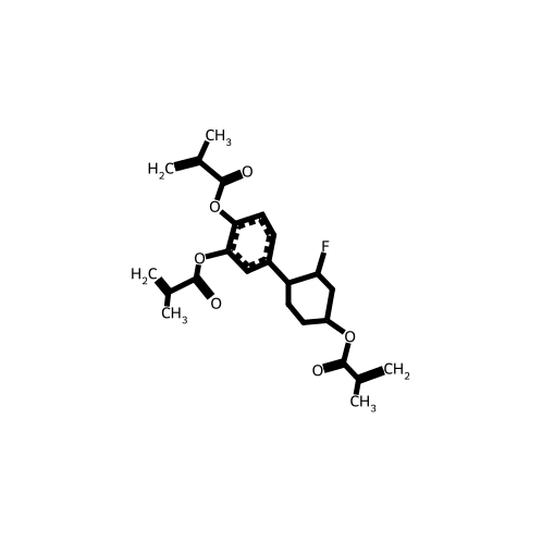 C=C(C)C(=O)Oc1ccc(C2CCC(OC(=O)C(=C)C)CC2F)cc1OC(=O)C(=C)C